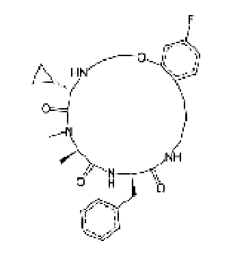 C[C@@H]1C(=O)N[C@H](Cc2ccccc2)C(=O)NCCCc2ccc(F)cc2OCCN[C@@H](C2CC2)C(=O)N1C